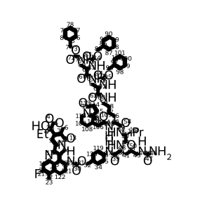 CC[C@@]1(O)C(=O)OCc2c1cc1n(c2=O)Cc2c-1nc1cc(F)c(C)c3c1c2[C@@H](NC(=O)OCc1ccc(NC(=O)[C@H](CCCNC(N)=O)NC(=O)[C@@H](NC(=O)[C@H](CCCCNC(=O)C(CNC(=O)C(CNC(=O)OCc2ccccc2)NC(=O)OCc2ccccc2)NC(=O)OCc2ccccc2)NC(=O)CCCCCN2C(=O)C=CC2=O)C(C)C)cc1)CC3